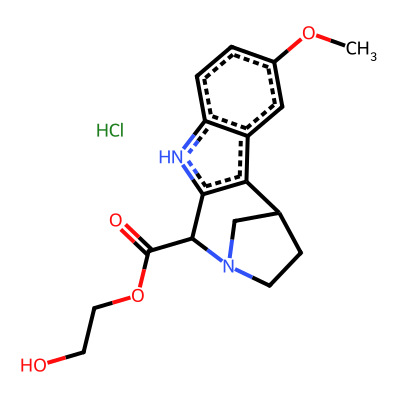 COc1ccc2[nH]c3c(c2c1)C1CCN(C1)C3C(=O)OCCO.Cl